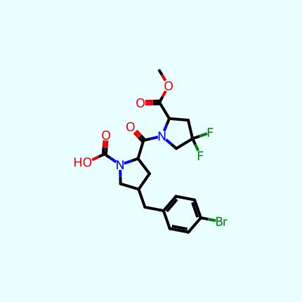 COC(=O)C1CC(F)(F)CN1C(=O)C1CC(Cc2ccc(Br)cc2)CN1C(=O)O